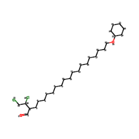 O=[C]C(CCCCCCCCCCCCCCCCCCOC1CC[CH]CC1)C(Cl)CCl